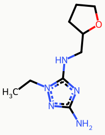 CCn1nc(N)nc1NCC1CCCO1